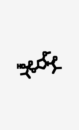 COC1CC(OP(=O)(O)C(C)C)CN1C(=O)C(C)C